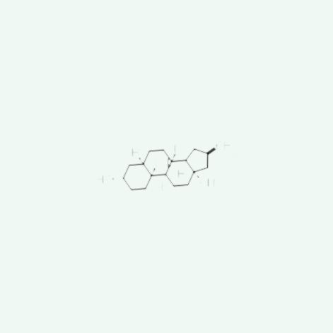 C=C1C[C@@H]2[C@H]3CC[C@H]4C[C@@H](O)CC[C@@]4(C)[C@@H]3CC[C@@]2(C)C1